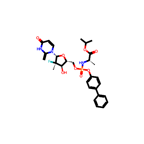 C=C1NC(=O)C=CN1[C@@H]1O[C@H](COP(=O)(N[C@@H](C)C(=O)OC(C)C)Oc2ccc(-c3ccccc3)cc2)[C@@H](O)[C@@]1(C)F